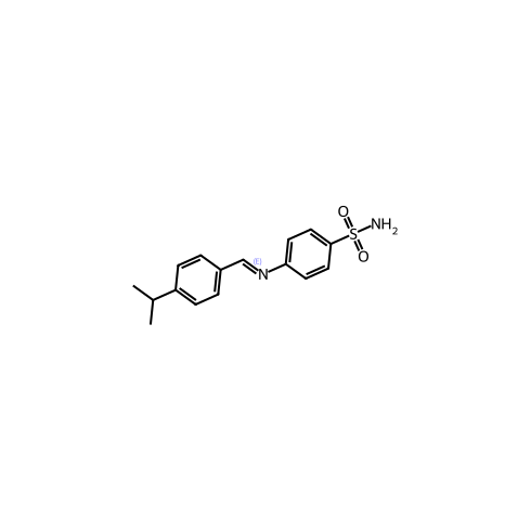 CC(C)c1ccc(/C=N/c2ccc(S(N)(=O)=O)cc2)cc1